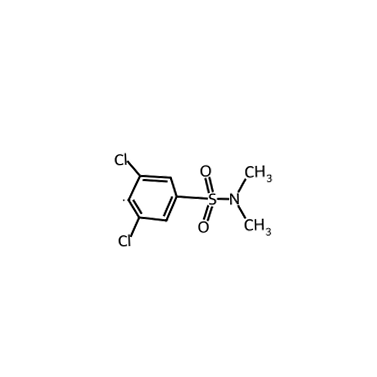 CN(C)S(=O)(=O)c1cc(Cl)[c]c(Cl)c1